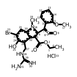 CCOC(=O)c1c(C(=S=O)c2ccccc2OC)n(C)c2cc(Br)c(O)c(CNC(=N)N)c12.Cl